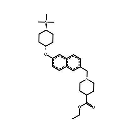 CCOC(=O)C1CCN(Cc2ccc3cc(O[C@H]4CC[C@H](S(C)(C)C)CC4)ccc3c2)CC1